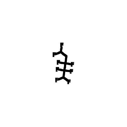 FC(F)CC(F)(F)C(F)(F)C(F)F